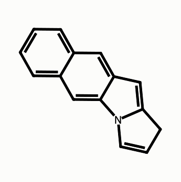 C1=Cn2c(cc3cc4ccccc4cc32)C1